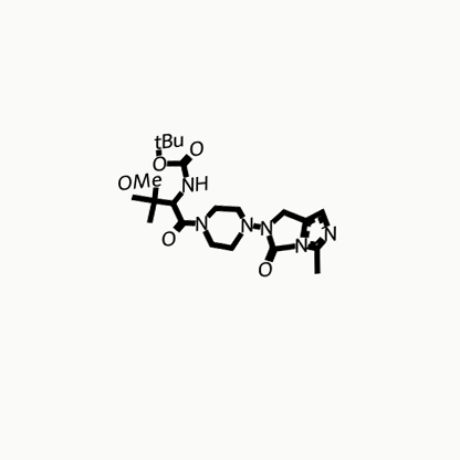 COC(C)(C)C(NC(=O)OC(C)(C)C)C(=O)N1CCN(N2Cc3cnc(C)n3C2=O)CC1